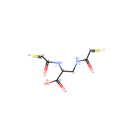 O=C(C=S)NCC(NC(=O)C=S)C(=O)O